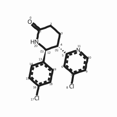 O=C1CC[C@H](c2cc(Cl)ccn2)[C@@H](c2ccc(Cl)cc2)N1